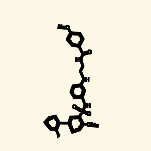 COc1ccc(C(=O)NCCNc2cccc(NS(=O)(=O)c3cc(-c4ccccc4F)ccc3OC)c2)cc1